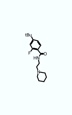 CC(C)(C)c1ccc(C(=O)NCCN2CCCCC2)c(F)c1